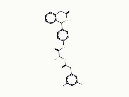 C[C@H](NC(=O)Cc1cc(F)cc(F)c1)C(=O)Nc1ccc(C2NC(=O)Cc3ccccc32)cc1